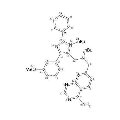 CCCCN(Cc1ccc2c(N)ncnc2c1)Cc1c(-c2cccc(OC)c2)nc(-c2ccccc2)n1CCCC